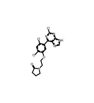 O=C1CCCN1CCOc1cc(-c2nc(Cl)nc3[nH]cnc23)c(Cl)cc1Cl